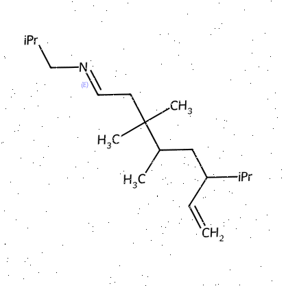 C=CC(CC(C)C(C)(C)C/C=N/CC(C)C)C(C)C